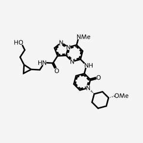 CNc1cc(Nc2cccn([C@H]3CCC[C@@H](OC)C3)c2=O)nc2c(C(=O)NCC3CC3CCO)cnn12